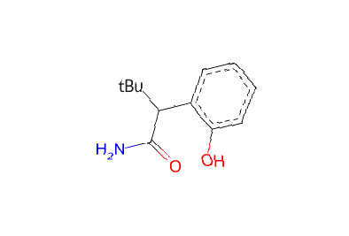 CC(C)(C)C(C(N)=O)c1ccccc1O